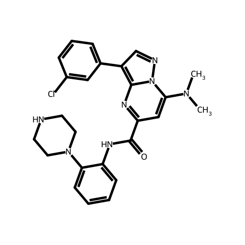 CN(C)c1cc(C(=O)Nc2ccccc2N2CCNCC2)nc2c(-c3cccc(Cl)c3)cnn12